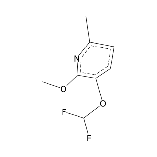 COc1nc(C)ccc1OC(F)F